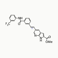 COC(=O)c1cc2cc(/C=C/c3cccc(C(=O)Nc4cccc(C(F)(F)F)c4)c3)cnc2[nH]1